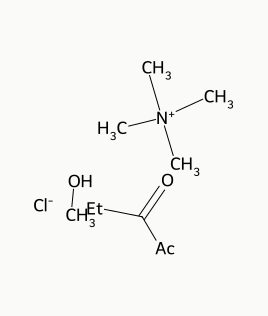 CCC(=O)C(C)=O.CO.C[N+](C)(C)C.[Cl-]